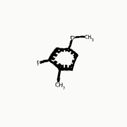 COc1ccc(C)c(F)c1